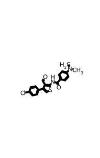 CN(C)c1ccc(C(=O)Nc2scc(-c3ccc(Cl)cc3)c2C=O)cc1